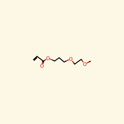 C=CC(=O)OCCCOCCOC